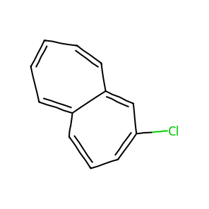 ClC1=CC=CC2=CC=CC=CC2=C1